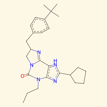 CCCN1C(=O)N2CC(Cc3ccc(C(C)(C)C)cc3)N=C2c2[nH]c(C3CCCC3)nc21